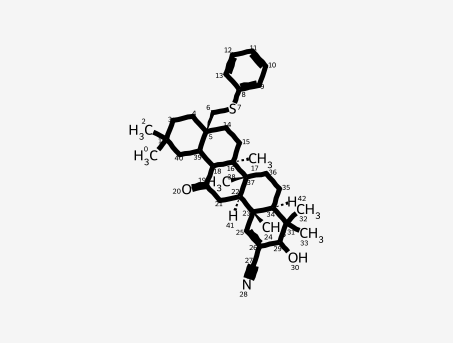 CC1(C)CC[C@]2(CSc3ccccc3)CC[C@]3(C)C(C(=O)C[C@@H]4[C@@]5(C)C=C(C#N)C(O)C(C)(C)[C@@H]5CC[C@]43C)C2C1